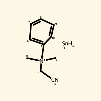 C[N+](C)(CC#N)c1ccccc1.[SnH4]